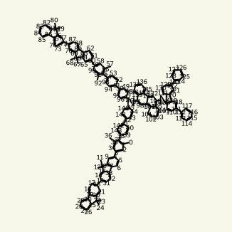 Cc1cc(-c2ccc3c(c2)C(C)(C)c2cc(-c4ccc5c(c4)C(C)(C)c4ccccc4-5)ccc2-3)cc(C)c1-c1ccc(-c2ccc(N(c3ccc(-c4ccc(-c5c(C)cc(-c6ccc7c(c6)C(C)(C)c6cc(-c8ccc9c(c8)C(C)(C)c8ccccc8-9)ccc6-7)cc5C)cc4)cc3)c3cc4c5ccccc5c(-n5c6ccc(-c7ccccc7)cc6c6cc(-c7ccccc7)ccc65)cc4c4ccccc34)cc2)cc1